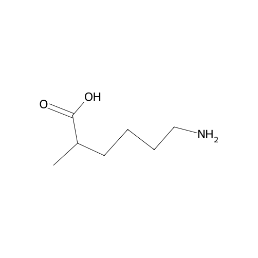 CC(CCCCN)C(=O)O